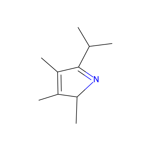 CC1=C(C)C(C)N=C1C(C)C